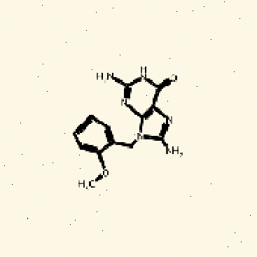 COc1ccccc1Cn1c(N)nc2c(=O)[nH]c(N)nc21